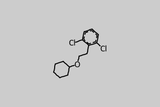 Clc1cccc(Cl)c1CCOC1CCCCC1